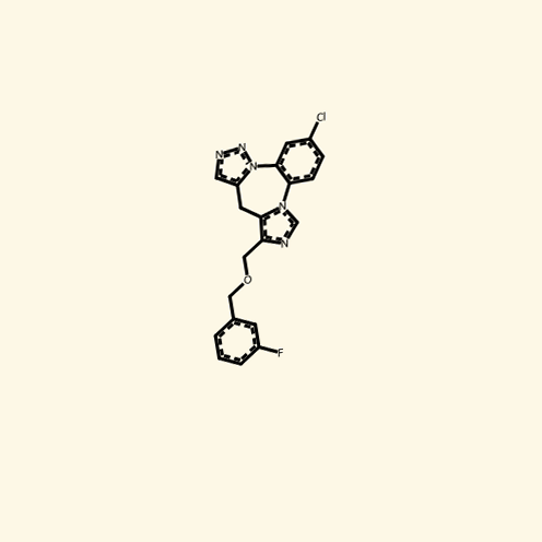 Fc1cccc(COCc2ncn3c2Cc2cnnn2-c2cc(Cl)ccc2-3)c1